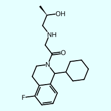 C[C@@H](O)CNCC(=O)N1CCc2c(F)cccc2C1C1CCCCC1